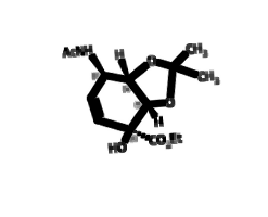 CCOC(=O)[C@]1(O)C=C[C@@H](NC(C)=O)[C@@H]2OC(C)(C)O[C@@H]21